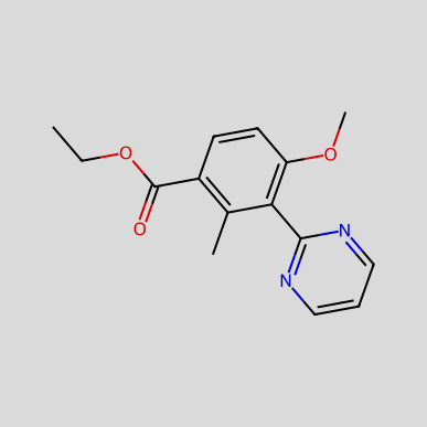 CCOC(=O)c1ccc(OC)c(-c2ncccn2)c1C